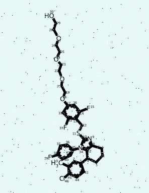 Cc1cc(C2CCCc3nc(SCc4c(F)cc(OCCOCCOCCOCCO)cc4F)n(-c4ccc(F)cc4)c32)ccc1Cl